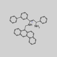 NC(/C=C(\NCc1c2ccccc2cc2c1ccc1ccccc12)c1cccc(-c2ccccc2)c1)c1ccccc1